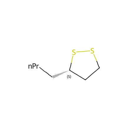 CCCC[C@H]1CCSS1